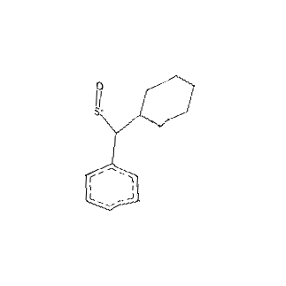 O=[S+]C(c1ccccc1)C1CCCCC1